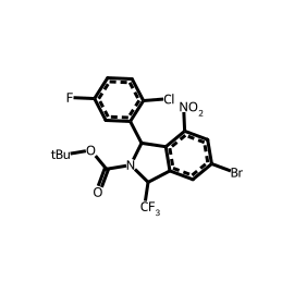 CC(C)(C)OC(=O)N1C(c2cc(F)ccc2Cl)c2c(cc(Br)cc2[N+](=O)[O-])C1C(F)(F)F